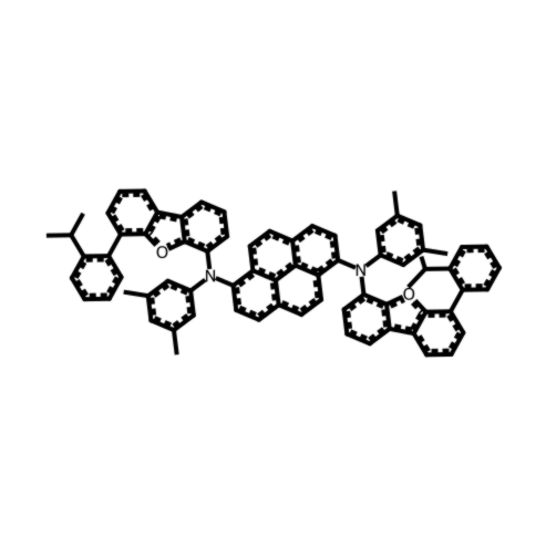 Cc1cc(C)cc(N(c2ccc3ccc4c(N(c5cc(C)cc(C)c5)c5cccc6c5oc5c(-c7ccccc7C(C)C)cccc56)ccc5ccc2c3c54)c2cccc3c2oc2c(-c4ccccc4C(C)C)cccc23)c1